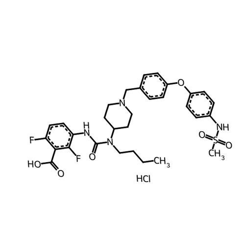 CCCCN(C(=O)Nc1ccc(F)c(C(=O)O)c1F)C1CCN(Cc2ccc(Oc3ccc(NS(C)(=O)=O)cc3)cc2)CC1.Cl